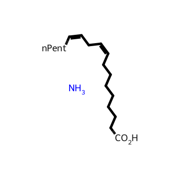 CCCCC/C=C\C/C=C\CCCCCCCC(=O)O.N